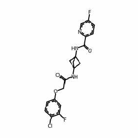 O=C(COc1ccc(Cl)c(F)c1)NC12CC(NC(=O)c3ccc(F)cn3)(C1)C2